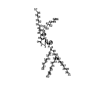 C=C1CCN(C(=O)C/C=C(\CCCCCCCCC)CCCN(CCCCCCCCC)CCCCCCCCC)CCC1CC(=O)CC(CCCCCCCCC)CCCCCCCCC